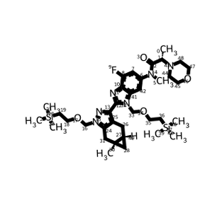 C[C@@H](C(=O)N(C)c1cc(F)c2nc(-c3nn(COCC[Si](C)(C)C)c4c3C[C@@H]3C[C@]3(C)C4)n(COCC[Si](C)(C)C)c2c1)N1CCOCC1